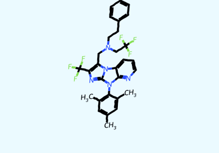 Cc1cc(C)c(-n2c3ncccc3n3c(CN(CCc4ccccc4)CC(F)(F)F)c(C(F)(F)F)nc23)c(C)c1